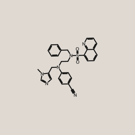 Cn1cncc1CN(CCN(Cc1ccccc1)S(=O)(=O)c1cccc2cccnc12)c1ccc(C#N)cc1